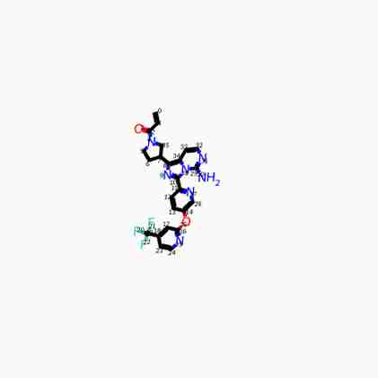 C=CC(=O)N1CCC(c2nc(-c3ccc(Oc4cc(C(F)(F)F)ccn4)cn3)n3c(N)nccc23)C1